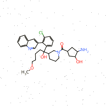 COCCCCC(O)(c1cccc(Cl)c1-c1cnc2ccccc2c1)C1CCCN(C(=O)C2CC(N)C(O)C2)C1